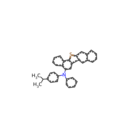 CC(C)c1ccc(N(c2ccccc2)c2cc3c4cc5ccccc5cc4sc3c3ccccc23)cc1